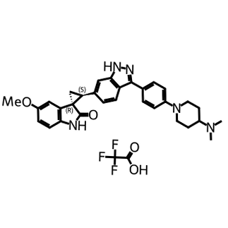 COc1ccc2c(c1)[C@]1(C[C@H]1c1ccc3c(-c4ccc(N5CCC(N(C)C)CC5)cc4)n[nH]c3c1)C(=O)N2.O=C(O)C(F)(F)F